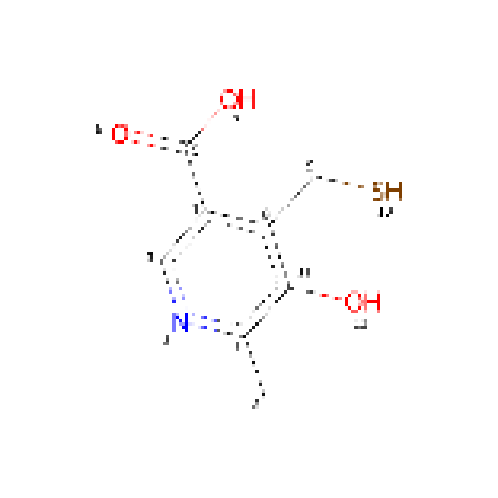 Cc1ncc(C(=O)O)c(CS)c1O